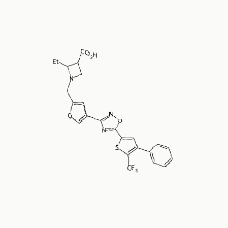 CCC1C(C(=O)O)CN1Cc1cc(-c2noc(-c3cc(-c4ccccc4)c(C(F)(F)F)s3)n2)co1